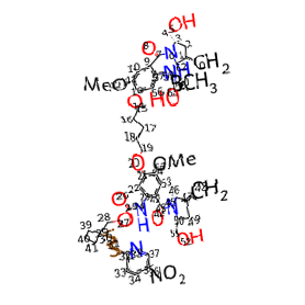 C=C1C[C@@H](CO)N(C(=O)c2cc(OC)c(OCCCCCOc3cc(NC(=O)OCC4(SSc5ccc([N+](=O)[O-])cn5)CCC4)c(C(=O)N4CC(=C)C[C@H]4CO)cc3OC)cc2NB(C)O)C1